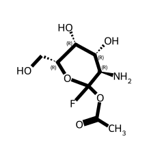 CC(=O)OC1(F)O[C@H](CO)[C@H](O)[C@H](O)[C@H]1N